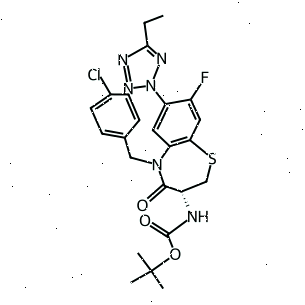 CCc1nnn(-c2cc3c(cc2F)SC[C@H](NC(=O)OC(C)(C)C)C(=O)N3Cc2ccc(Cl)cc2)n1